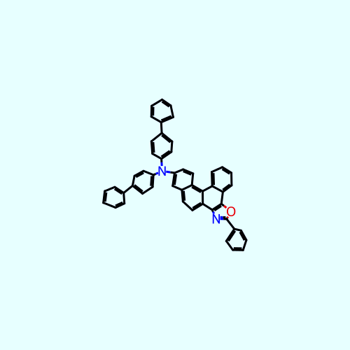 c1ccc(-c2ccc(N(c3ccc(-c4ccccc4)cc3)c3ccc4c(ccc5c6nc(-c7ccccc7)oc6c6ccccc6c45)c3)cc2)cc1